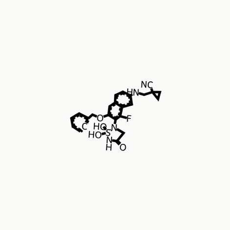 N#CC1(CNc2ccc3cc(OCc4ccccc4)c(N4CC(=O)NS4(O)O)c(F)c3c2)CC1